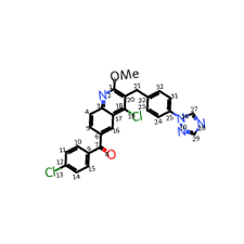 COc1nc2ccc(C(=O)c3ccc(Cl)cc3)cc2c(Cl)c1Cc1ccc(-n2cncn2)cc1